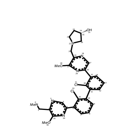 CNCc1ncc(-c2cccc(-c3cccc(-c4cnc(CN5CC[C@H](O)C5)c(OC)n4)c3Cl)c2Cl)nc1OC